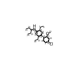 CCc1nc(-c2ccc(Cl)cc2OC)c(CC)nc1NC(CC)CC